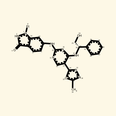 CCn1[nH]c(=O)c2ccc(Nc3ncc(-c4nnc(C)o4)c(N[C@H](CO)c4ccccc4)n3)cc21